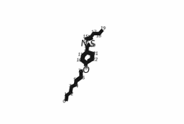 CCCCCC=CCOc1ccc(-c2ncc(CCC)s2)cc1